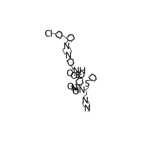 CN1CCN(CC[C@H](CSc2ccccc2)Nc2ccc(S(=O)(=O)NC(=O)c3ccc(N4CCN(Cc5ccccc5-c5ccc(Cl)cc5)CC4)cc3)cc2[N+](=O)[O-])CC1